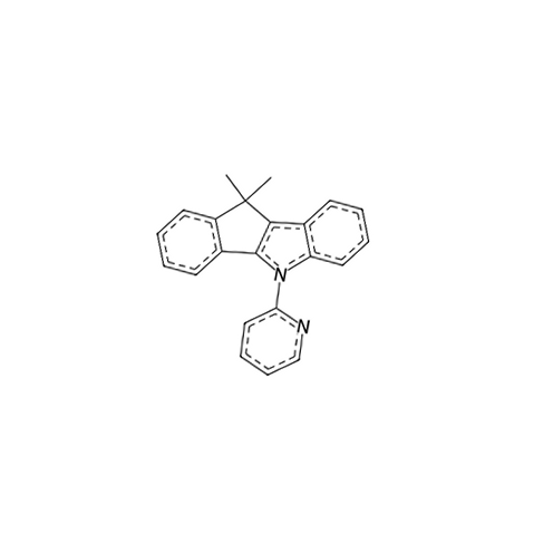 CC1(C)c2ccccc2-c2c1c1ccccc1n2-c1ccccn1